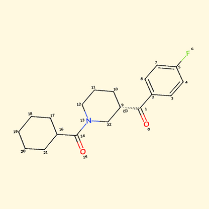 O=C(c1ccc(F)cc1)[C@H]1CCCN(C(=O)C2CCCCC2)C1